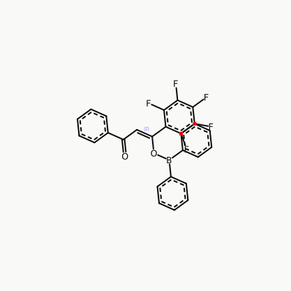 O=C(/C=C(\OB(c1ccccc1)c1ccccc1)c1c(F)c(F)c(F)c(F)c1F)c1ccccc1